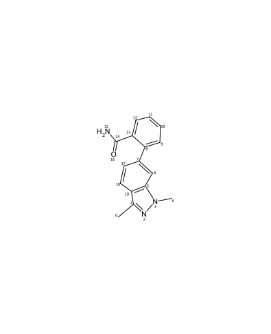 Cc1nn(C)c2cc(-c3ccccc3C(N)=O)ccc12